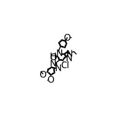 CCn1cc2c(n1)c(Cl)c(-c1nc3cc(OC)c(OC)cc3[nH]1)c(=O)n2Cc1ccc(OC)cc1